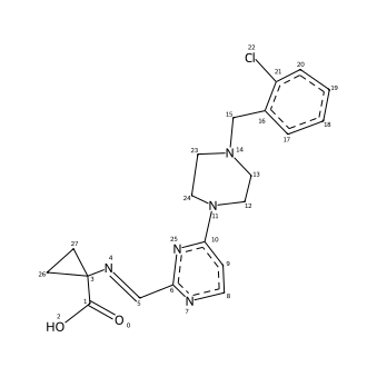 O=C(O)C1(N=Cc2nccc(N3CCN(Cc4ccccc4Cl)CC3)n2)CC1